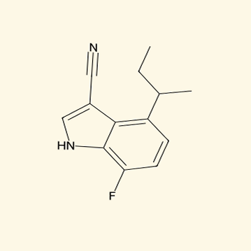 CCC(C)c1ccc(F)c2[nH]cc(C#N)c12